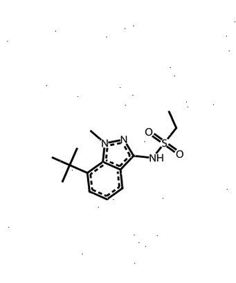 CCS(=O)(=O)Nc1nn(C)c2c(C(C)(C)C)cccc12